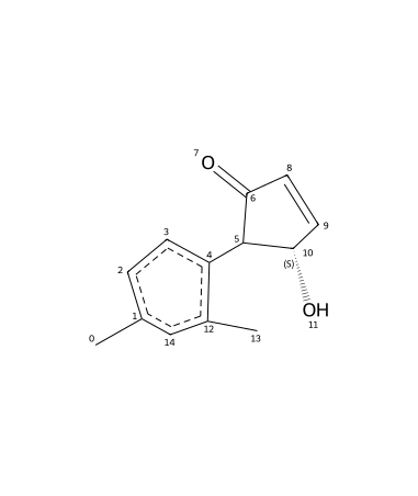 Cc1ccc(C2C(=O)C=C[C@@H]2O)c(C)c1